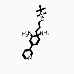 CC(C)(C)[Si](C)(C)OCCCC1(N)C=CC(c2cccnc2)=CC1N